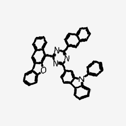 c1ccc(-n2c3ccccc3c3ccc(-c4nc(-c5ccc6ccccc6c5)nc(-c5c6ccccc6cc6c5oc5ccccc56)n4)cc32)cc1